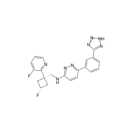 Fc1cccnc1[C@]1(CNc2ccc(-c3cccc(-c4nn[nH]n4)c3)nn2)C[C@@H](F)C1